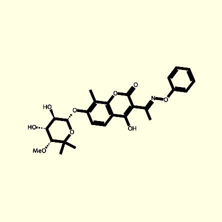 CO[C@@H]1[C@H](O)[C@@H](O)[C@H](Oc2ccc3c(O)c(C(C)=NOc4ccccc4)c(=O)oc3c2C)OC1(C)C